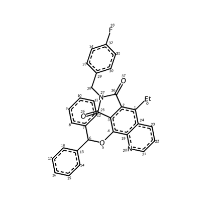 CCc1c2c(c(OC(c3ccccc3)c3ccccc3)c3ncccc13)C(=O)N(Cc1ccc(F)cc1)C2=O